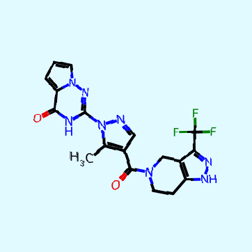 Cc1c(C(=O)N2CCc3[nH]nc(C(F)(F)F)c3C2)cnn1-c1nn2cccc2c(=O)[nH]1